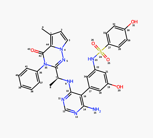 Cc1ccn2nc([C@H](C)Nc3ncnc(N)c3-c3cc(O)cc(NS(=O)(=O)c4ccc(O)cc4)c3)n(-c3ccccc3)c(=O)c12